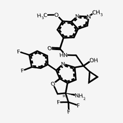 COc1cc(C(=O)NCC(O)(c2cc3c(c(-c4ccc(F)c(F)c4)n2)OC[C@@]3(N)C(F)(F)F)C2CC2)cc2cn(C)nc12